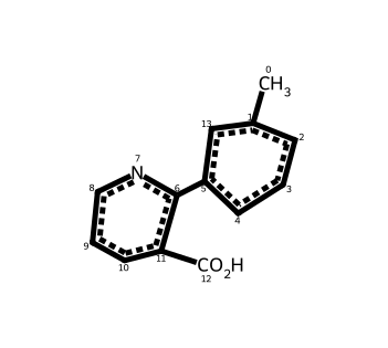 Cc1cccc(-c2ncccc2C(=O)O)c1